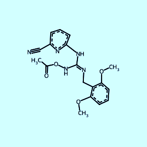 COc1cccc(OC)c1CN=C(NOC(C)=O)Nc1cccc(C#N)n1